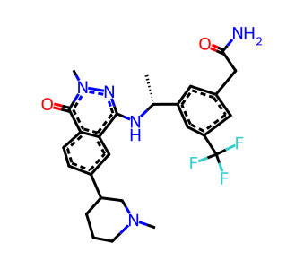 C[C@@H](Nc1nn(C)c(=O)c2ccc(C3CCCN(C)C3)cc12)c1cc(CC(N)=O)cc(C(F)(F)F)c1